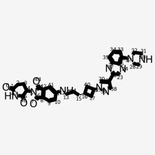 O=C1CCC(N2C(=O)c3ccc(NCCC[C@H]4C[C@H](n5cc(-c6cnc7c(N8CCNCC8)cccc7n6)cn5)C4)cc3C2=O)C(=O)N1